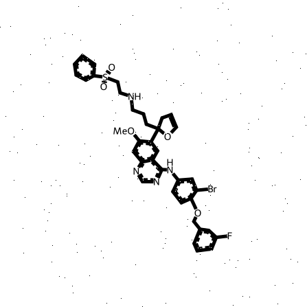 COc1cc2ncnc(Nc3ccc(OCc4cccc(F)c4)c(Br)c3)c2cc1C1(CCCNCCS(=O)(=O)c2ccccc2)CC=CO1